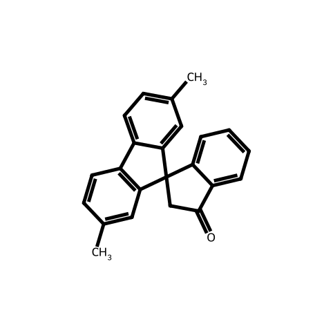 Cc1ccc2c(c1)C1(CC(=O)c3ccccc31)c1cc(C)ccc1-2